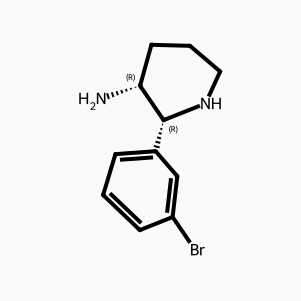 N[C@@H]1CCCN[C@@H]1c1cccc(Br)c1